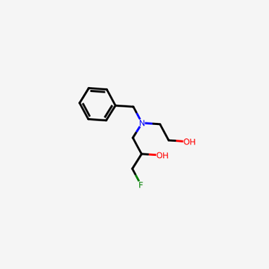 OCCN(Cc1ccccc1)CC(O)CF